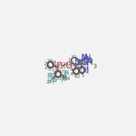 CC(c1ccccc1)N1C2CC[C@H](OCCOC(c3ccccc3)c3cc(C(F)(F)F)cc(C(F)(F)F)c3)C1(c1ccccc1)CC2c1nnn[nH]1